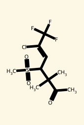 CC(=O)C(C)(C)C(C=C(Cl)C(F)(F)F)S(C)(=O)=O